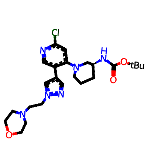 CC(C)(C)OC(=O)N[C@H]1CCCN(c2cc(Cl)ncc2-c2cnn(CCN3CCOCC3)c2)C1